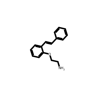 NCCOc1ccccc1/C=C/c1ccccc1